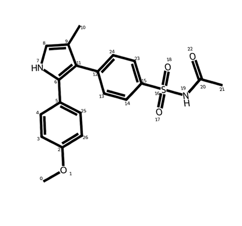 COc1ccc(-c2[nH]cc(C)c2-c2ccc(S(=O)(=O)NC(C)=O)cc2)cc1